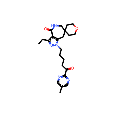 CCc1nn(CCCCC(=O)c2ncc(C)cn2)c2c1C(=O)NCC1(CCOCC1)C2